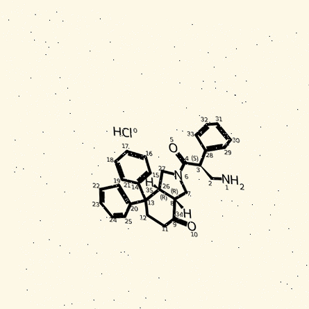 Cl.NC[C@@H](C(=O)N1C[C@@H]2C(=O)CCC(c3ccccc3)(c3ccccc3)[C@@H]2C1)c1ccccc1